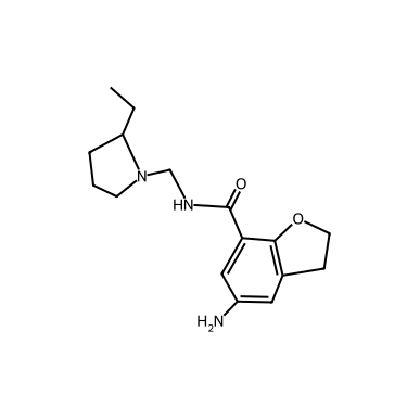 CCC1CCCN1CNC(=O)c1cc(N)cc2c1OCC2